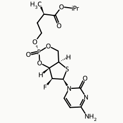 CC(C)OC(=O)[C@H](C)CCO[P@]1(=O)OC[C@H]2S[C@@H](n3ccc(N)nc3=O)[C@@H](F)[C@@H]2O1